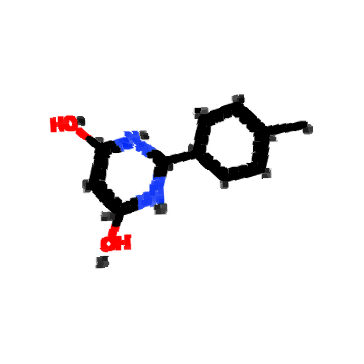 Cc1ccc(-c2nc(O)cc(O)n2)cc1